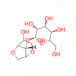 OCC1O[C@@H](O[C@@H]2C3COC2C(O)[C@H](O)O3)[C@@H](O)[C@@H](O)[C@H]1O